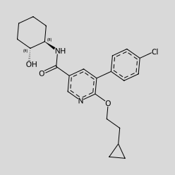 O=C(N[C@@H]1CCCC[C@H]1O)c1cnc(OCCC2CC2)c(-c2ccc(Cl)cc2)c1